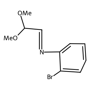 COC(C=Nc1ccccc1Br)OC